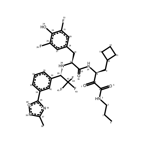 CCCNC(=O)C(=O)[C@H](CC1CCC1)NC(=O)[C@H](Cc1cc(F)c(O)c(F)c1)N[C@@H](c1cccc(-c2nc(C)no2)c1)C(F)(F)F